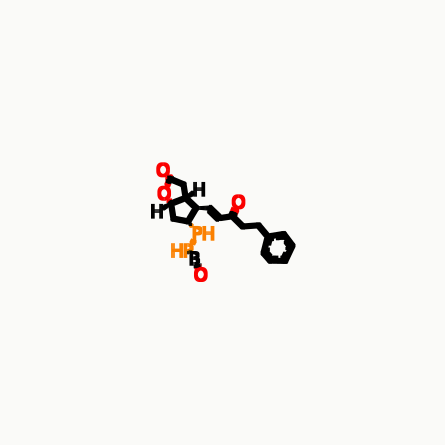 O=BPP[C@@H]1C[C@@H]2OC(=O)C[C@@H]2[C@H]1/C=C/C(=O)CCc1ccccc1